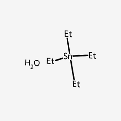 C[CH2][Sn]([CH2]C)([CH2]C)[CH2]C.O